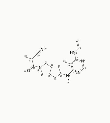 C=CNc1ncnc(N(C)C2CC3CN(C(=O)C(C)C#N)CC3C2)c1C